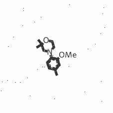 COc1cc(C)ccc1N1CCOC(C)(C)C1